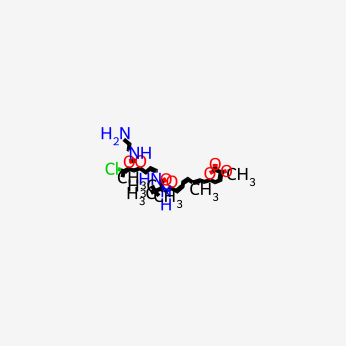 COC1=CCC(C/C=C(C)/C=C\C=C/C(=O)NC(C(=O)N/C=C\CC(C/C=C(\C)Cl)OC(=O)NCCCN)C(C)(C)C)OC1=O